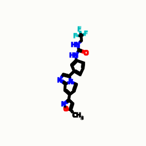 Cc1cc(-c2ccn3c(-c4cccc(NC(=O)NCC(F)(F)F)c4)cnc3c2)no1